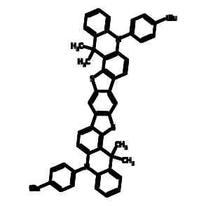 CC(C)(C)c1ccc(N2c3ccccc3C(C)(C)c3c2ccc2c3sc3cc4c(cc32)sc2c3c(ccc24)N(c2ccc(C(C)(C)C)cc2)c2ccccc2C3(C)C)cc1